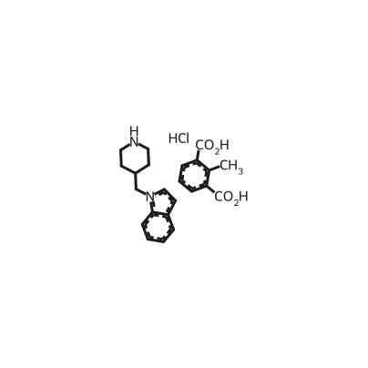 Cc1c(C(=O)O)cccc1C(=O)O.Cl.c1ccc2c(c1)ccn2CC1CCNCC1